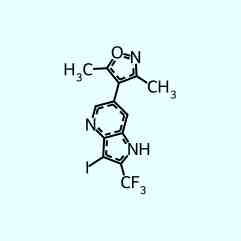 Cc1noc(C)c1-c1cnc2c(I)c(C(F)(F)F)[nH]c2c1